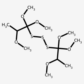 COC(C)C(OC)(OC)SSSC(OC)(OC)C(C)OC